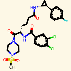 CS(=O)(=O)N1CCN(C(=O)[C@H](CCCC(=O)N[C@@H]2C[C@H]2c2ccc(F)cc2)NC(=O)c2ccc(Cl)c(Cl)c2)CC1